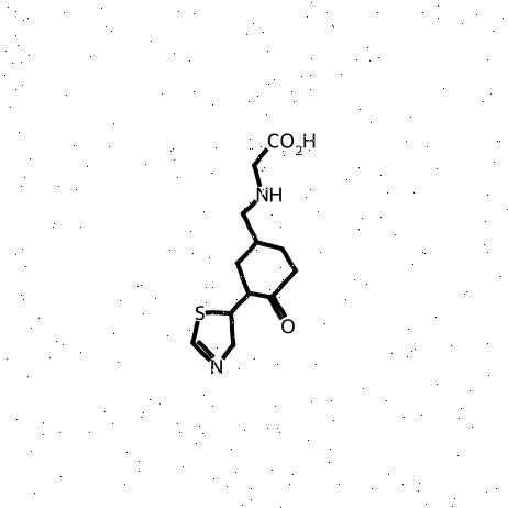 O=C(O)CNCC1CCC(=O)C(C2CN=CS2)C1